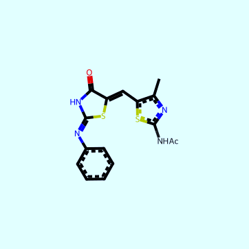 CC(=O)Nc1nc(C)c(C=C2SC(=Nc3ccccc3)NC2=O)s1